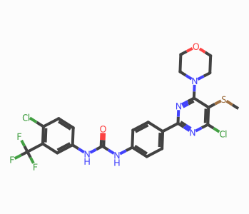 CSc1c(Cl)nc(-c2ccc(NC(=O)Nc3ccc(Cl)c(C(F)(F)F)c3)cc2)nc1N1CCOCC1